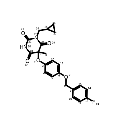 CC1(Oc2ccc(OCc3ccc(F)cc3)cc2)C(=O)NC(=O)N(CC2CC2)C1=O